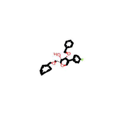 O[C@@H]1[C@H](OCc2ccccc2)C(c2ccc(F)cc2)=CO[C@@H]1COCc1ccccc1